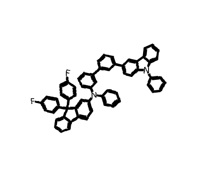 Fc1ccc(C2(c3ccc(F)cc3)c3ccccc3-c3ccc(N(c4ccccc4)c4cccc(-c5cccc(-c6ccc7c(c6)c6ccccc6n7-c6ccccc6)c5)c4)cc32)cc1